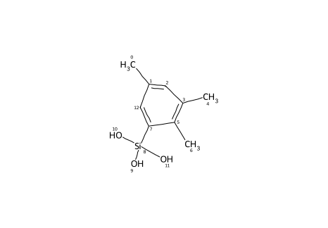 Cc1cc(C)c(C)c([Si](O)(O)O)c1